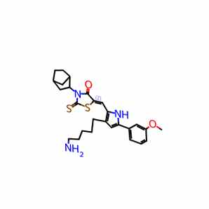 COc1cccc(-c2cc(CCCCCN)c(/C=C3\SC(=S)N(C4CC5CCC4C5)C3=O)[nH]2)c1